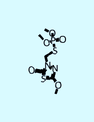 COc1nn(CSP(=O)(OC)OC)c(=O)s1